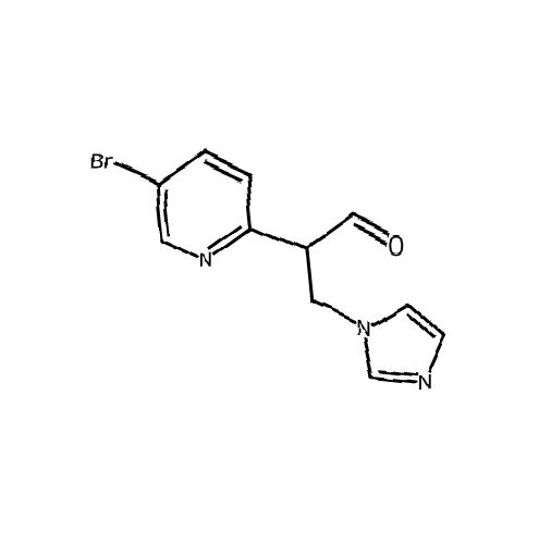 O=CC(Cn1ccnc1)c1ccc(Br)cn1